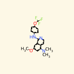 COc1cc(N(C)C)c2ccnc(Nc3ccc(OC(F)(F)F)cc3)c2c1